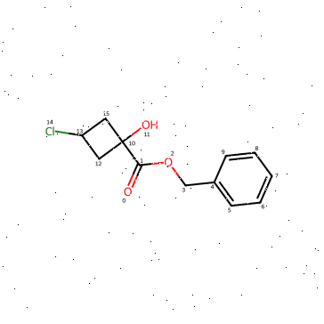 O=C(OCc1ccccc1)C1(O)CC(Cl)C1